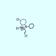 CCNC1CC(Cl)CCCC1N(C(=O)C=CCl)c1ccccc1